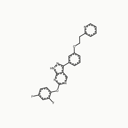 Fc1ccc(Oc2ncc3c(-c4cccc(OCCc5ccccn5)c4)n[nH]c3n2)c(F)c1